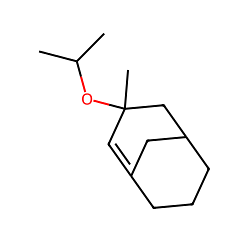 CC(C)OC1(C)C=C2CCCC(C2)C1